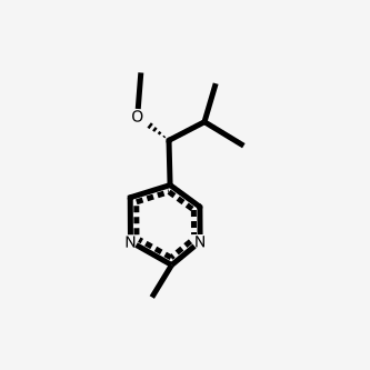 CO[C@@H](c1cnc(C)nc1)C(C)C